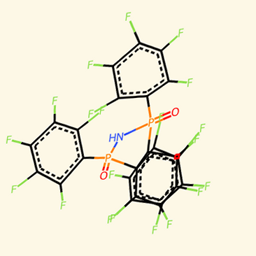 O=P(NP(=O)(c1c(F)c(F)c(F)c(F)c1F)c1c(F)c(F)c(F)c(F)c1F)(c1c(F)c(F)c(F)c(F)c1F)c1c(F)c(F)c(F)c(F)c1F